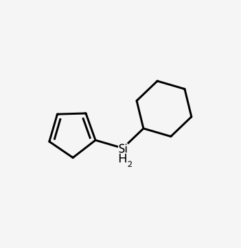 C1=CCC([SiH2]C2CCCCC2)=C1